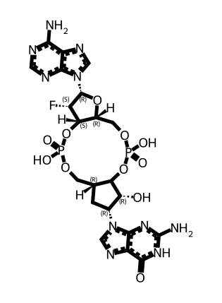 Nc1nc2c(ncn2[C@@H]2C[C@@H]3COP(=O)(O)O[C@@H]4[C@H](F)[C@H](n5cnc6c(N)ncnc65)O[C@@H]4COP(=O)(O)OC3[C@@H]2O)c(=O)[nH]1